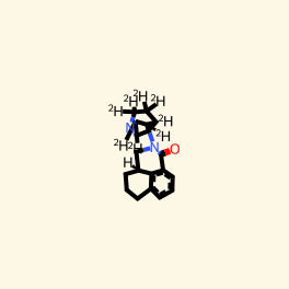 [2H]C1([2H])N2CC[C@]([2H])(C1([2H])[2H])[C@]([2H])(N1C[C@H]3CCCc4cccc(c43)C1=O)C2([2H])[2H]